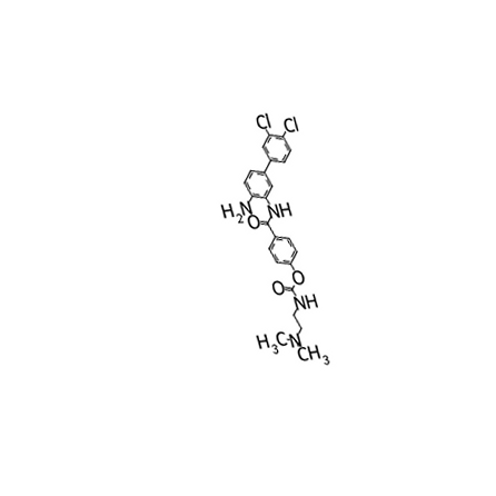 CN(C)CCNC(=O)Oc1ccc(C(=O)Nc2cc(-c3ccc(Cl)c(Cl)c3)ccc2N)cc1